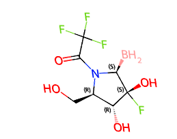 B[C@@H]1N(C(=O)C(F)(F)F)[C@H](CO)[C@@H](O)[C@@]1(O)F